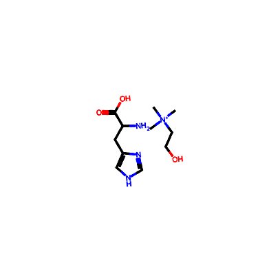 C[N+](C)(C)CCO.NC(Cc1c[nH]cn1)C(=O)O